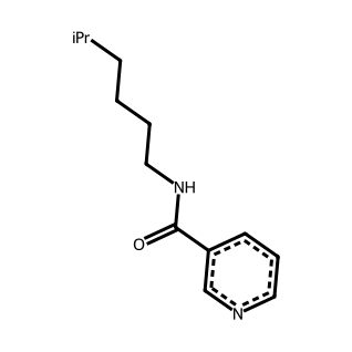 CC(C)CCCCNC(=O)c1cccnc1